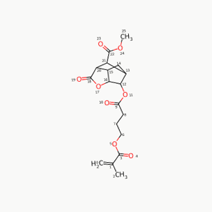 C=C(C)C(=O)OCCCC(=O)OC1C2CC3C1OC(=O)C3C2C(=O)OC